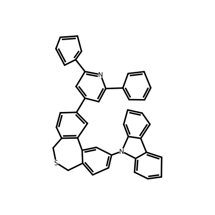 c1ccc(-c2cc(-c3ccc4c(c3)-c3cc(-n5c6ccccc6c6ccccc65)ccc3CSC4)cc(-c3ccccc3)n2)cc1